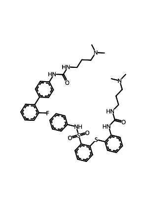 CN(C)CCCNC(=O)Nc1ccc(-c2ccccc2F)cc1.CN(C)CCCNC(=O)Nc1ccccc1Sc1ccccc1S(=O)(=O)Nc1ccccc1